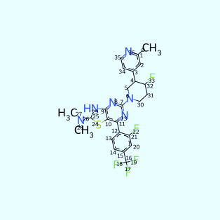 Cc1cc(C2CN(c3nc4c(c(-c5ccc(C(F)(F)F)cc5F)n3)SC(N(C)C)N4)CCC2F)ccn1